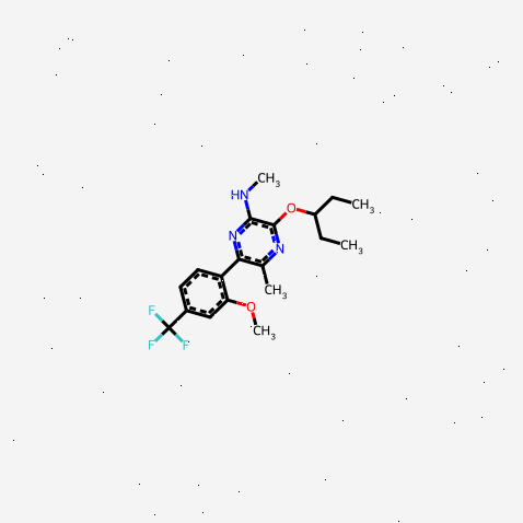 CCC(CC)Oc1nc(C)c(-c2ccc(C(F)(F)F)cc2OC)nc1NC